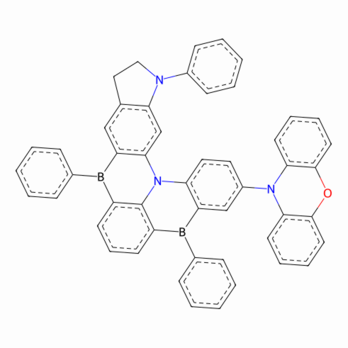 c1ccc(B2c3cc(N4c5ccccc5Oc5ccccc54)ccc3N3c4cc5c(cc4B(c4ccccc4)c4cccc2c43)CCN5c2ccccc2)cc1